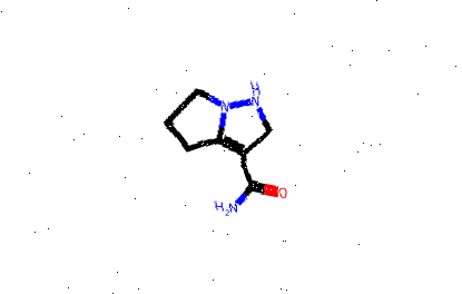 NC(=O)C1=C2CCCN2NC1